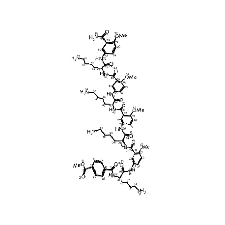 COC(=O)c1ccc(C(=O)N[C@@H](CCCCN)C(=O)Nc2ccc(OC)c(C(=O)N[C@@H](CCCCN)C(=O)Nc3ccc(OC)c(C(=O)N[C@@H](CCCCN)C(=O)Nc4ccc(OC)c(C(=O)N[C@@H](CCCCN)C(=O)Nc5ccc(OC)c(C(N)=O)c5)c4)c3)c2)cc1